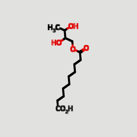 CC(O)C(O)COC(=O)CCCCCCCCC(=O)O